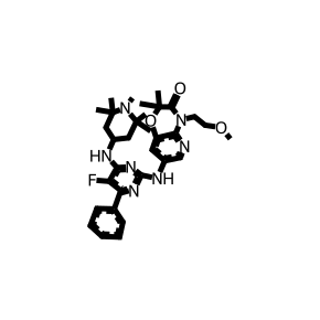 COCCN1C(=O)C(C)(C)Oc2cc(Nc3nc(NC4CC(C)(C)N(C)C(C)(C)C4)c(F)c(-c4ccccc4)n3)cnc21